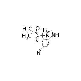 CC(C)C(=O)c1ccc2c(C#N)ccc3c2c1C[C@H]1CNC3N1